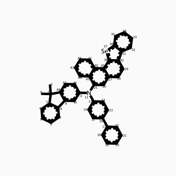 CC1(C)c2ccccc2-c2cc(N(c3ccc(-c4ccccc4)cc3)c3cc4ccc5c6ccccc6[se]c5c4c4ccccc34)ccc21